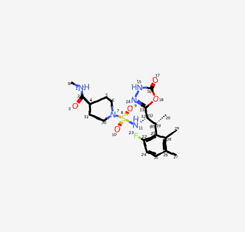 CNC(=O)C1CCN(S(=O)(=O)N[C@H](c2n[nH]c(=O)o2)[C@H](C)c2c(F)ccc(C)c2C)CC1